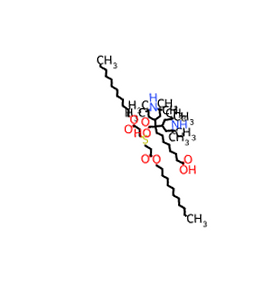 CC1(C)CC(C(CCCCCCCC(=O)O)(C(=O)O)C2CC(C)(C)NC(C)(C)C2)CC(C)(C)N1.CCCCCCCCCCCCOC(=O)CCSCCC(=O)OCCCCCCCCCCCC